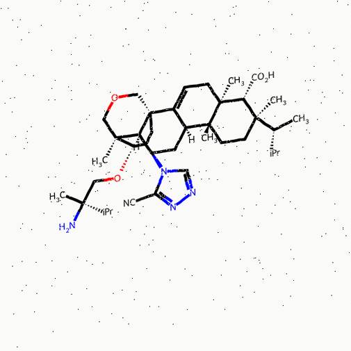 CC(C)[C@@H](C)[C@@]1(C)CC[C@]2(C)[C@H]3CC[C@@H]4[C@@]5(COC[C@]4(C)[C@@H](OC[C@](C)(N)C(C)C)[C@H](n4cnnc4C#N)C5)C3=CC[C@@]2(C)[C@@H]1C(=O)O